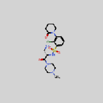 CN1CCN(C(=O)[C@H](CN)NS(=O)(=O)c2cccc(N3CCCCC3=O)c2Cl)CC1